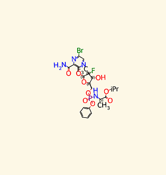 CC(C)OC(=O)[C@H](C)NP(=O)(OC[C@H]1O[C@@H](Oc2ncc(Br)nc2C(N)=O)[C@@](F)(C(F)(F)F)[C@@H]1O)Oc1ccccc1